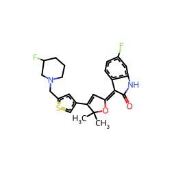 CC1(C)OC(=C2C(=O)Nc3cc(F)ccc32)C=C1c1csc(CN2CCCC(F)C2)c1